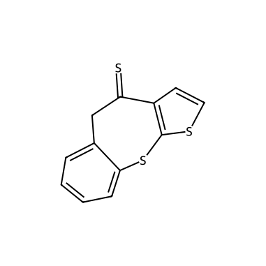 S=C1Cc2ccccc2Sc2sccc21